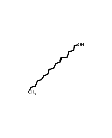 CCCCCCCCCCC=CCCCCO